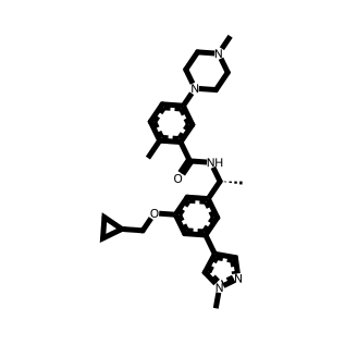 Cc1ccc(N2CCN(C)CC2)cc1C(=O)N[C@H](C)c1cc(OCC2CC2)cc(-c2cnn(C)c2)c1